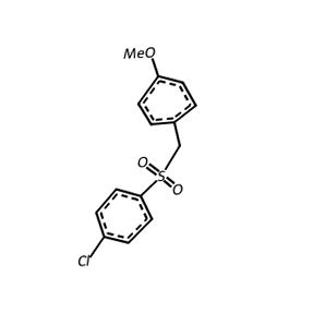 COc1ccc(CS(=O)(=O)c2ccc(Cl)cc2)cc1